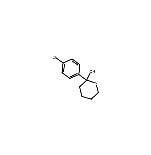 OC1(c2ccc(Cl)cc2)CCCC[N]1